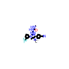 [C-]#[N+]C1=C(C)N(c2cccc(C(F)(F)F)c2)c2nc(NC(=O)NC)nn2[C@@H]1c1ccc(C#N)cc1